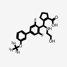 [2H]C([2H])([2H])Oc1cccc(-c2cc(F)c(C(NCCO)C3=C(C(=O)O)CCC3)c(F)c2)c1